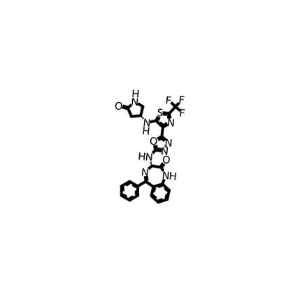 O=C1C[C@@H](Nc2sc(C(F)(F)F)nc2-c2nnc(N[C@H]3N=C(c4ccccc4)c4ccccc4NC3=O)o2)CN1